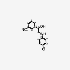 N#Cc1cccc(C(O)CNc2ccc(Cl)cc2)c1